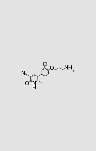 Cc1[nH]c(=O)c(C#N)cc1-c1ccc(OCCCN)c(Cl)c1